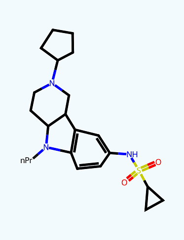 CCCN1c2ccc(NS(=O)(=O)C3CC3)cc2C2CN(C3CCCC3)CCC21